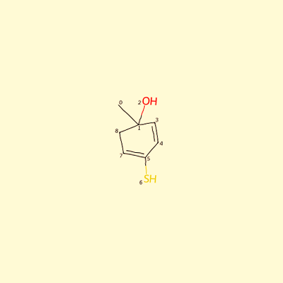 CC1(O)C=CC(S)=CC1